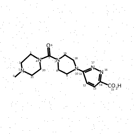 CN1CCN(C(=O)N2CCN(c3ccc(C(=O)O)nn3)CC2)CC1